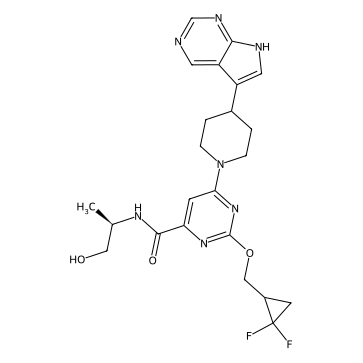 C[C@H](CO)NC(=O)c1cc(N2CCC(c3c[nH]c4ncncc34)CC2)nc(OCC2CC2(F)F)n1